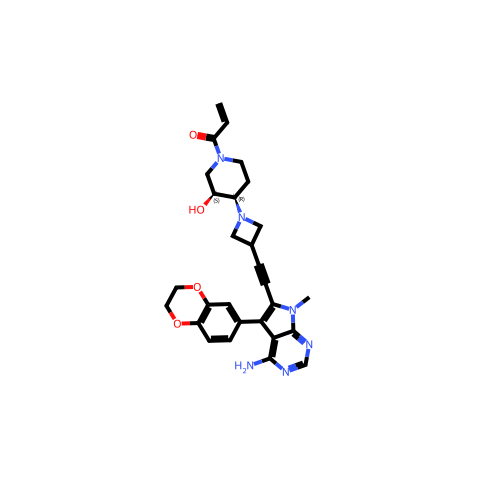 C=CC(=O)N1CC[C@@H](N2CC(C#Cc3c(-c4ccc5c(c4)OCCO5)c4c(N)ncnc4n3C)C2)[C@@H](O)C1